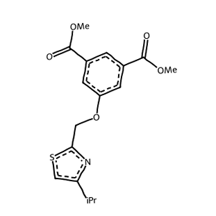 COC(=O)c1cc(OCc2nc(C(C)C)cs2)cc(C(=O)OC)c1